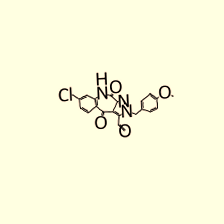 COc1ccc(Cn2nc3c(=O)[nH]c4cc(Cl)ccc4c(=O)c3c2C=O)cc1